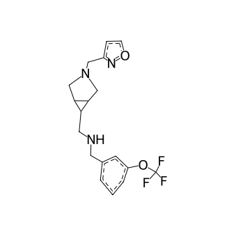 FC(F)(F)Oc1cccc(CNCC2C3CN(Cc4ccon4)CC23)c1